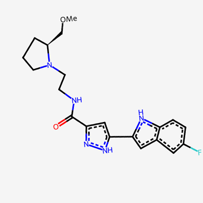 COC[C@@H]1CCCN1CCNC(=O)c1cc(-c2cc3cc(F)ccc3[nH]2)[nH]n1